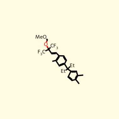 CCC(CC)(c1ccc(C)c(C)c1)c1ccc(/C=C/C(OCOC)(C(F)(F)F)C(F)(F)F)c(C)c1